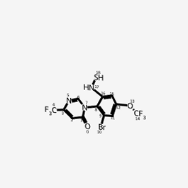 O=c1cc(C(F)(F)F)ncn1-c1c(Br)cc(OC(F)(F)F)cc1NS